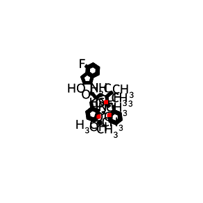 C[SiH](C)O[C@@](Cc1ccc(O)cc1)(C[C@H]([C@H](Cc1ccccc1)NC(=O)OC(C)(C)C)C(C)(C)C)C(=O)N[C@H]1c2cccc(F)c2C[C@H]1O